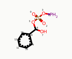 O=S(=O)(OP)OC(O)c1ccccc1